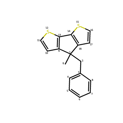 CC1(Cc2ccccc2)c2ccsc2-c2sccc21